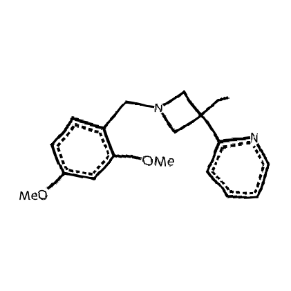 COc1ccc(CN2CC(C)(c3ccccn3)C2)c(OC)c1